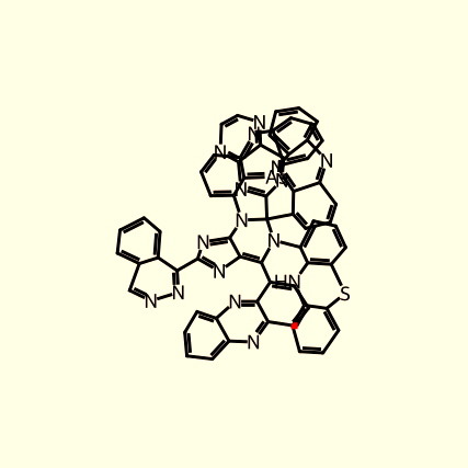 c1ccc2c(c1)N=c1cccc(N3C4=NC(c5nncc6ccccc56)=NC4=C(c4cccc5nc6ccccc6nc45)N(c4cccc5c4Nc4ccccc4S5)C3(c3ncc4nccnc4n3)c3cccc4nc5ccccc5nc34)c1=[As]2